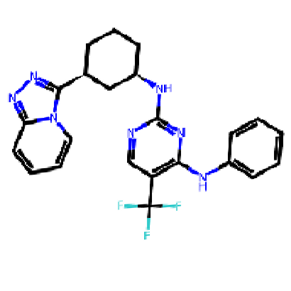 FC(F)(F)c1cnc(N[C@@H]2CCC[C@H](c3nnc4ccccn34)C2)nc1Nc1ccccc1